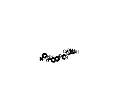 CC(C)(C)c1cccc(NC(=O)C2CCc3ccc(Oc4ccnc(N(C[C@H](O)CO)C(=O)O)c4)cc3C2)c1